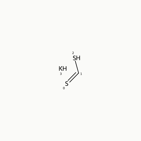 S=CS.[KH]